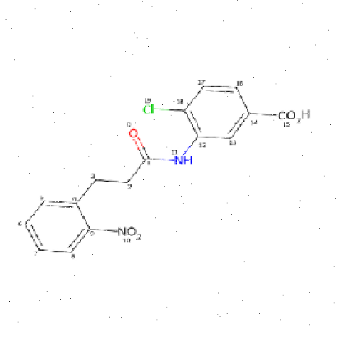 O=C(CCc1ccccc1[N+](=O)[O-])Nc1cc(C(=O)O)ccc1Cl